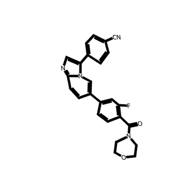 N#Cc1ccc(-c2cnc3ccc(-c4ccc(C(=O)N5CCOCC5)c(F)c4)cn23)cc1